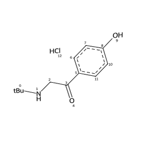 CC(C)(C)NCC(=O)c1ccc(O)cc1.Cl